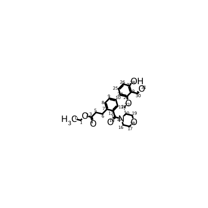 CCOC(=O)CCc1ccccc1C(=O)N1CCOC[C@H]1COc1cccc(O)c1C=O